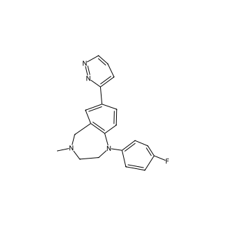 CN1CCN(c2ccc(F)cc2)c2ccc(-c3cccnn3)cc2C1